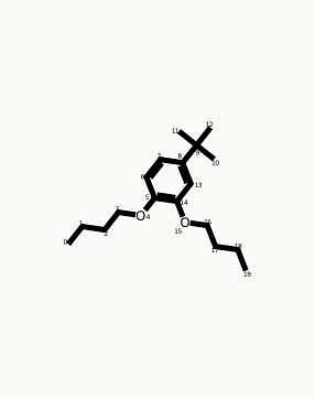 CCCCOc1ccc(C(C)(C)C)cc1OCCCC